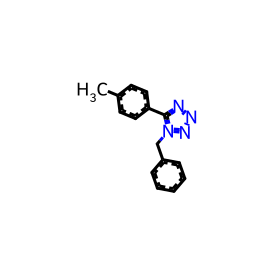 Cc1ccc(-c2nnnn2Cc2ccccc2)cc1